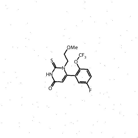 COCCn1c(-c2cc(F)ccc2OC(F)(F)F)cc(=O)[nH]c1=S